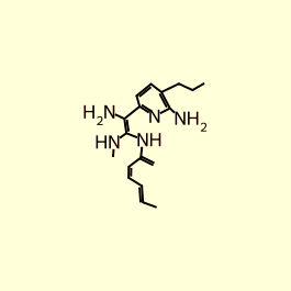 C=C(/C=C\C=C\C)N/C(NC)=C(/N)c1ccc(CCC)c(N)n1